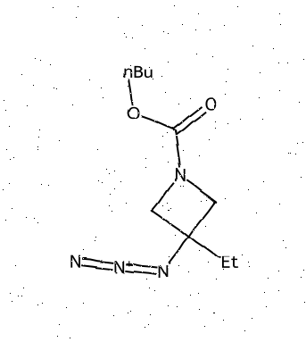 CCCCOC(=O)N1CC(CC)(N=[N+]=[N-])C1